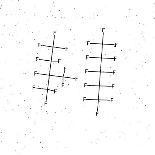 FC(F)(F)C(F)(F)C(F)(C(F)(F)F)C(F)(F)F.FC(F)(F)C(F)(F)C(F)(F)C(F)(F)C(F)(F)F